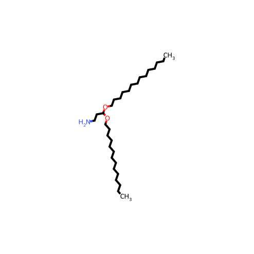 CCCCCCCCCCCCCCOC(CCN)OCCCCCCCCCCCCCC